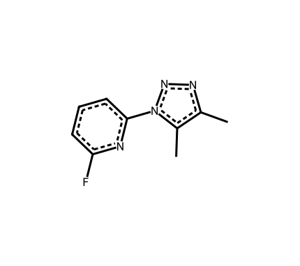 Cc1nnn(-c2cccc(F)n2)c1C